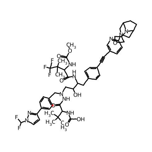 COC(=O)NC(C(=O)NC(Cc1ccc(C#Cc2ccc(N3CC4CCC(C3)N4C3COC3)nc2)cc1)C(O)CN(Cc1ccc(-c2ccn(C(F)F)n2)cc1)NC(=O)C(NC(=O)O)C(C)(C)C)C(C)(C)C(F)(F)F